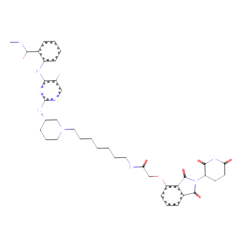 CNC(O)c1ccccc1Nc1nc(N[C@@H]2CCCN(CCCCCCCNC(=O)COc3cccc4c3C(=O)N(C3CCC(=O)NC3=O)C4=O)C2)ncc1Cl